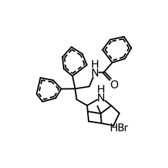 Br.CC1(C)C2CCC1NC(CC(CNC(=O)c1ccccc1)(c1ccccc1)c1ccccc1)C2